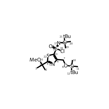 COC(C)(C)c1nc(CO[Si](C)(C)C(C)(C)C)c(S(=O)(Cl)=N[Si](C)(C)C(C)(C)C)s1